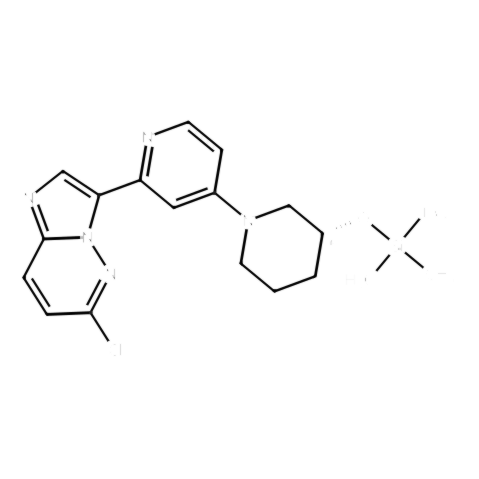 CC(C)(C)[Si](C)(C)O[C@@H]1CCCN(c2ccnc(-c3cnc4ccc(Cl)nn34)c2)C1